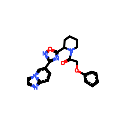 O=C(COc1ccccc1)N1CCCCC1c1nc(-c2ccc3nccn3c2)no1